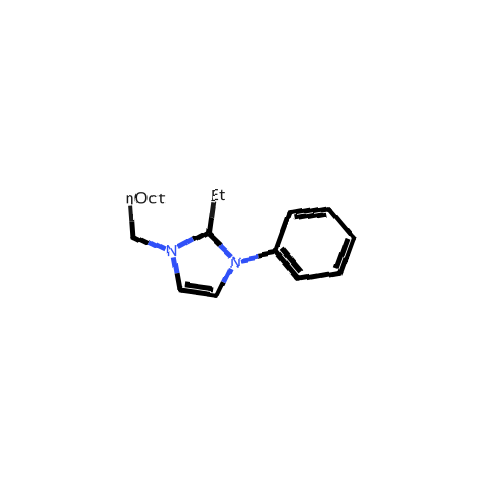 CCCCCCCCCN1C=CN(c2ccccc2)C1CC